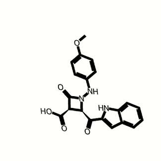 COc1ccc(NN2C(=O)[C@H](C(=O)O)[C@@H]2C(=O)c2cc3ccccc3[nH]2)cc1